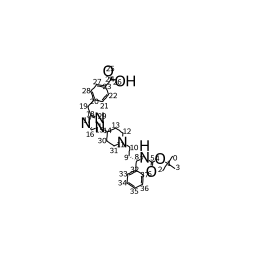 CC(C)(C)OC(=O)N[C@@H](CCN1CCC(n2cnc(Cc3ccc(C(=O)O)cc3)n2)CC1)c1ccccc1